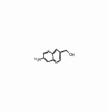 Nc1cnc2cc(CO)cnc2c1